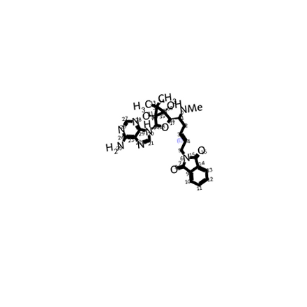 CNC(C/C=C/CN1C(=O)c2ccccc2C1=O)[C@H]1O[C@@H](n2cnc3c(N)ncnc32)[C@@]2(O)C(C)(C)[C@@]12O